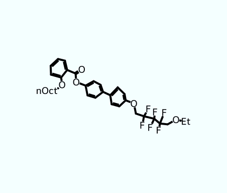 CCCCCCCCOc1ccccc1C(=O)Oc1ccc(-c2ccc(OCC(F)(F)C(F)(F)C(F)(F)COCC)cc2)cc1